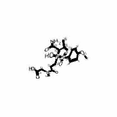 COc1ccc(S(=O)(=O)[N+](O)(CCC(=O)N(C)CC(=O)O)[C@@H](C(N)=O)C(C)C)cc1